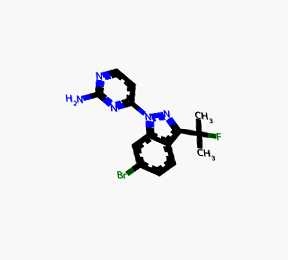 CC(C)(F)c1nn(-c2ccnc(N)n2)c2cc(Br)ccc12